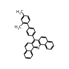 Cc1ccc(-c2ccc(-c3c4ccc5ccccc5c4nc4c3ccc3ccccc34)cc2)c(C)c1